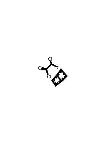 O=C(Cl)C(Cl)Cl.c1cc2ccc1-2